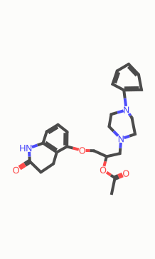 CC(=O)OC(COc1cccc2c1CCC(=O)N2)CN1CCN(c2ccccc2)CC1